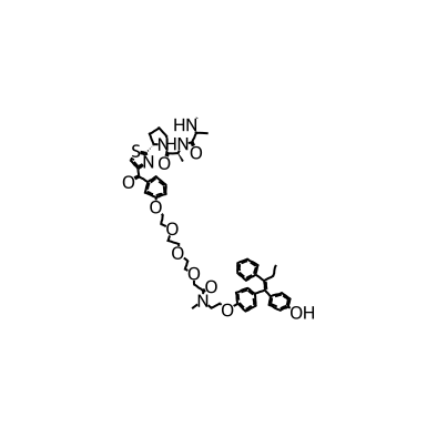 CC/C(=C(\c1ccc(O)cc1)c1ccc(OCCN(C)C(=O)COCCOCCOCCOc2cccc(C(=O)c3csc([C@@H]4CCCN4C(=O)[C@H](C)NC(=O)C(C)NC)n3)c2)cc1)c1ccccc1